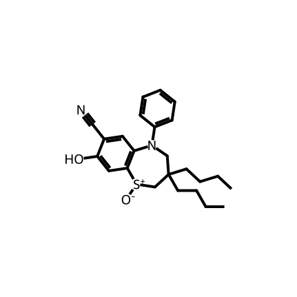 CCCCC1(CCCC)CN(c2ccccc2)c2cc(C#N)c(O)cc2[S+]([O-])C1